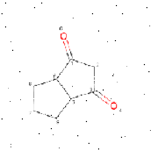 O=C1CC(=O)C2CCCC12